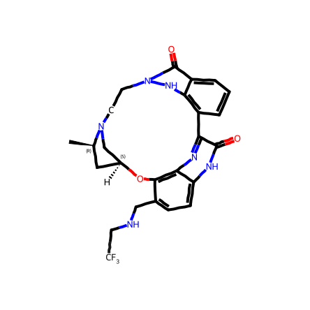 C[C@@H]1C[C@H]2CN1CCn1[nH]c3c(cccc3c1=O)-c1nc3c(c(CNCC(F)(F)F)ccc3[nH]c1=O)O2